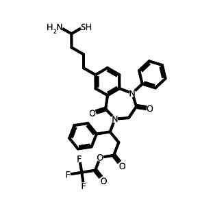 NC(S)CCCc1ccc2c(c1)C(=O)N(C(CC(=O)OC(=O)C(F)(F)F)c1ccccc1)CC(=O)N2c1ccccc1